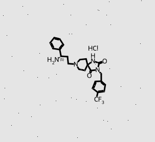 Cl.N[C@@H](CCN1CCC2(CC1)NC(=O)N(Cc1ccc(C(F)(F)F)cc1)C2=O)c1ccccc1